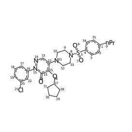 CCCc1ccc(S(=O)(=O)N2CCN(c3cnn(-c4cccc(Cl)c4)c(=O)c3OC3CCCC3)CC2)cc1